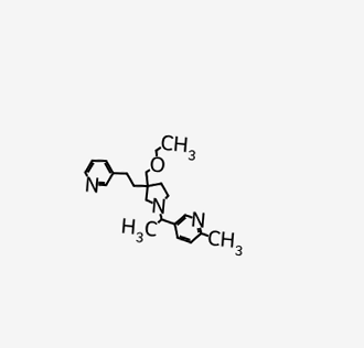 CCOCC1(CCc2cccnc2)CCN(C(C)c2ccc(C)nc2)C1